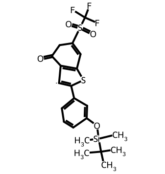 CC(C)(C)[Si](C)(C)Oc1cccc(-c2[c]c3c(s2)C=C(S(=O)(=O)C(F)(F)F)CC3=O)c1